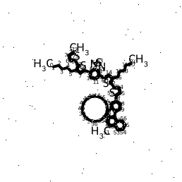 CCCCCCc1cc(-c2ccc(-c3cc(CCCCCC)c(-c4ccc(-c5ccc6c(c5)C5(CCCCCCCCCCCCCC5)c5cc(C)c7ccccc7c5-6)s4)s3)c3nsnc23)sc1-c1ccc(C)s1